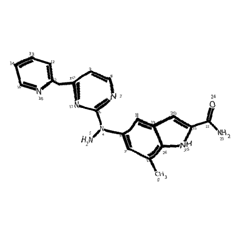 Cc1cc(N(N)c2nccc(-c3ccccn3)n2)cc2cc(C(N)=O)[nH]c12